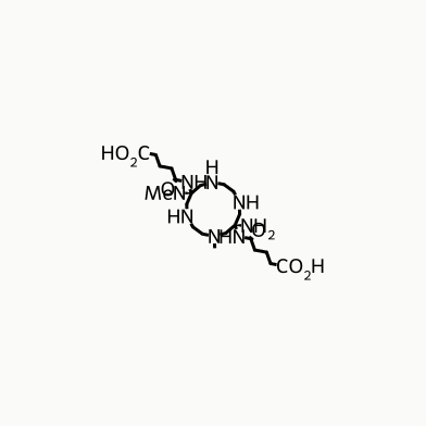 CN[C@@]1(NC(=O)CCCC(=O)O)CNCCNC[C@](N)(NC(=O)CCCC(=O)O)CN(C)CCNC1